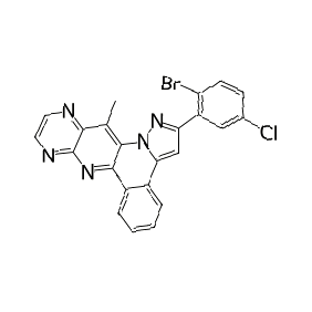 Cc1c2nccnc2nc2c3ccccc3c3cc(-c4cc(Cl)ccc4Br)nn3c12